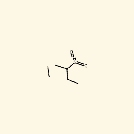 CC.CCC(C)[SH](=O)=O